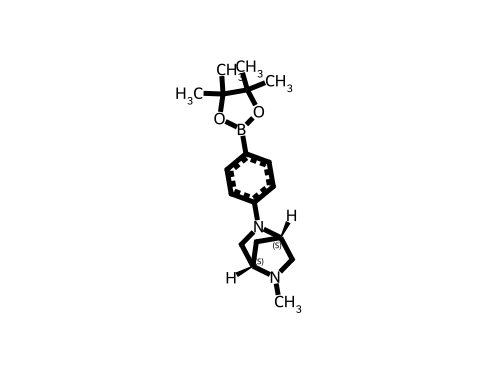 CN1C[C@@H]2C[C@H]1CN2c1ccc(B2OC(C)(C)C(C)(C)O2)cc1